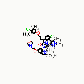 Cc1cc(OCCCc2c3n(c4c(-c5c(C)nn(C)c5C)c(Cl)ccc24)[C@H](C)CN(c2cc(OCCN4CCOCC4)cc4cc(C(=O)O)n(C)c24)C3=O)cc(C)c1Cl